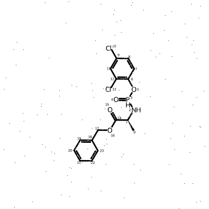 C[C@H](N[PH](=O)Oc1ccc(Cl)cc1Cl)C(=O)OCc1ccccc1